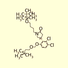 CC(C)(C)[Si](C)(C)OCCCCN1C[C@@H](c2c(OCOCC[Si](C)(C)C)ccc(Cl)c2Cl)CC1=O